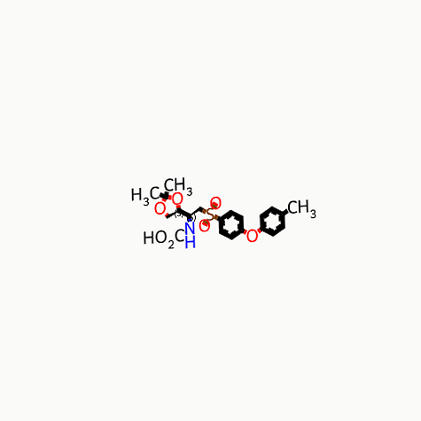 Cc1ccc(Oc2ccc(S(=O)(=O)C[C@@H](NC(=O)O)[C@H]3COC(C)(C)O3)cc2)cc1